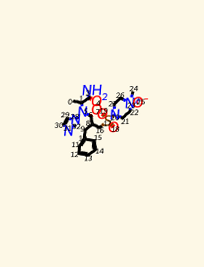 CC(C(N)=O)N(C(=O)C(Cc1ccccc1)CS(=O)(=O)N1CC[N+](C)([O-])CC1)n1ccnc1